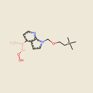 BB(BOO)c1ccnc2c1ccn2COCC[Si](C)(C)C